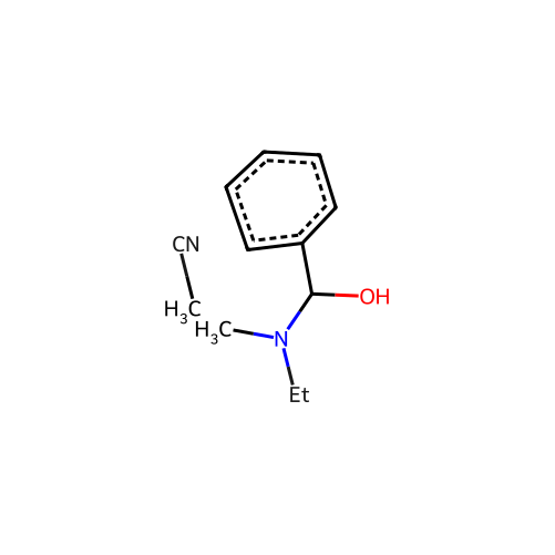 CC#N.CCN(C)C(O)c1ccccc1